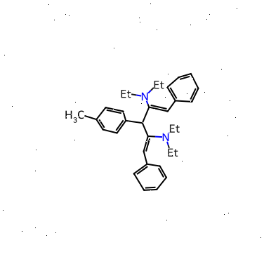 CCN(CC)C(=Cc1ccccc1)C(C(=Cc1ccccc1)N(CC)CC)c1ccc(C)cc1